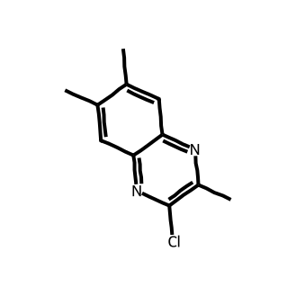 Cc1cc2nc(C)c(Cl)nc2cc1C